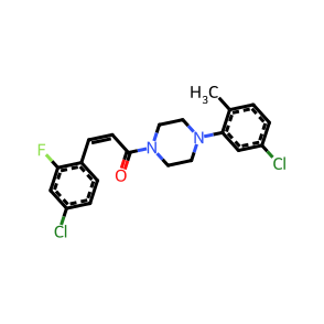 Cc1ccc(Cl)cc1N1CCN(C(=O)/C=C\c2ccc(Cl)cc2F)CC1